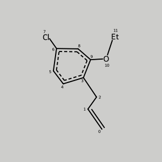 C=CCc1ccc(Cl)cc1OCC